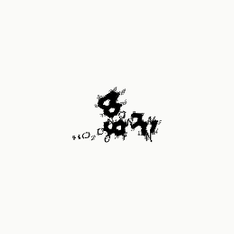 O=C(O)c1cn2c3c(c(N4CCC(c5cnccn5)C4)c(F)cc3c1=O)Oc1cc3ccccc3cc1-2